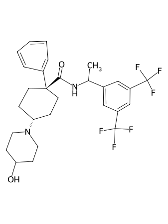 CC(NC(=O)[C@]1(c2ccccc2)CC[C@@H](N2CCC(O)CC2)CC1)c1cc(C(F)(F)F)cc(C(F)(F)F)c1